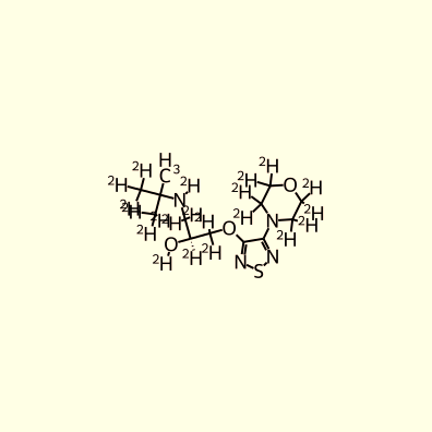 [2H]O[C@]([2H])(C([2H])([2H])Oc1nsnc1N1C([2H])([2H])C([2H])([2H])OC([2H])([2H])C1([2H])[2H])C([2H])([2H])N([2H])C(C)(C([2H])([2H])[2H])C([2H])([2H])[2H]